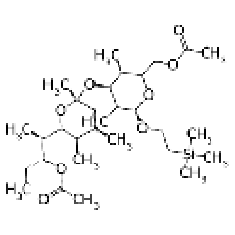 CC[C@@H](OC(C)=O)[C@@H](C)C1O[C@](C)(O[C@@H]2C(C)[C@H](OCC[Si](C)(C)C)OC(COC(C)=O)[C@@H]2C)C[C@@H](C)[C@H]1C